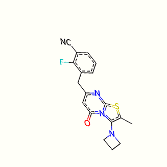 Cc1sc2nc(Cc3cccc(C#N)c3F)cc(=O)n2c1N1CCC1